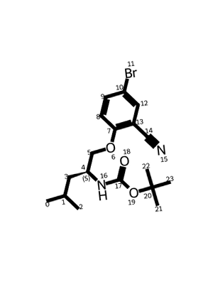 CC(C)C[C@@H](COc1ccc(Br)cc1C#N)NC(=O)OC(C)(C)C